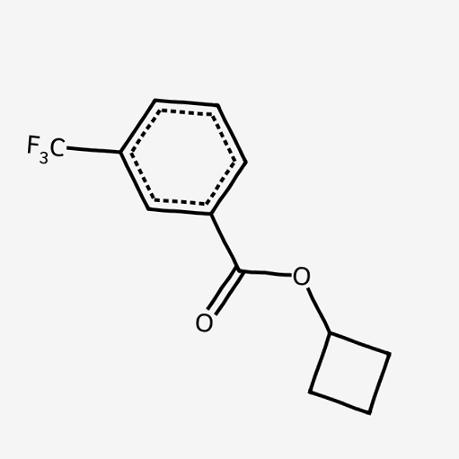 O=C(OC1CCC1)c1cccc(C(F)(F)F)c1